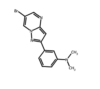 CN(C)c1cccc(-c2cc3ncc(Br)cn3n2)c1